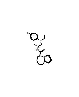 CCN(C[C@H](C)NC(=O)N1CCCCc2ccccc21)c1ccc(F)cc1